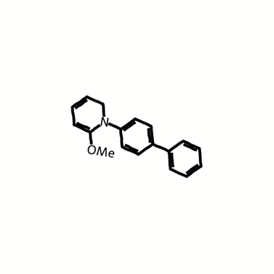 COC1=CC=CCN1c1ccc(-c2ccccc2)cc1